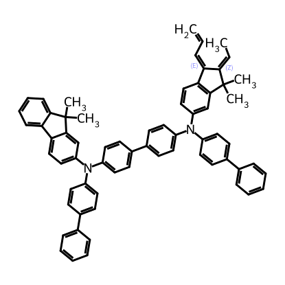 C=C/C=C1\C(=C/C)C(C)(C)c2cc(N(c3ccc(-c4ccccc4)cc3)c3ccc(-c4ccc(N(c5ccc(-c6ccccc6)cc5)c5ccc6c(c5)C(C)(C)c5ccccc5-6)cc4)cc3)ccc21